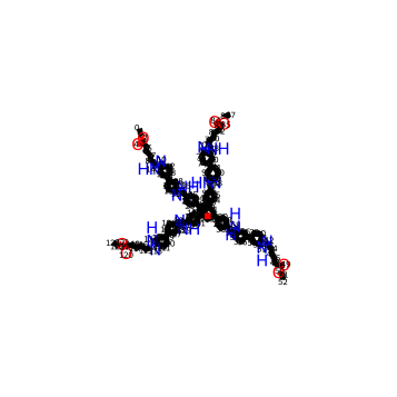 CCOC(=O)CCCCc1nc2ccc(-c3ccc4nc(-c5ccc(C67CC8(c9ccc(-c%10nc%11ccc(-c%12ccc%13nc(CCCCC(=O)OCC)[nH]c%13c%12)cc%11[nH]%10)cc9)CC(c9ccc(-c%10nc%11ccc(-c%12ccc%13nc(CCCCC(=O)OCC)[nH]c%13c%12)cc%11[nH]%10)cc9)(C6)CC(c6ccc(-c9nc%10ccc(-c%11ccc%12nc(CCCCC(=O)OCC)[nH]c%12c%11)cc%10[nH]9)cc6)(C7)C8)cc5)[nH]c4c3)cc2[nH]1